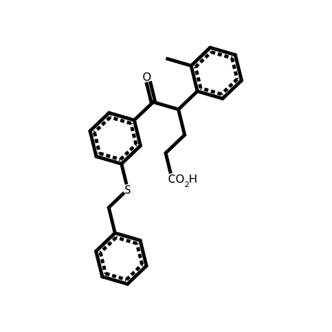 Cc1ccccc1C(CCC(=O)O)C(=O)c1cccc(SCc2ccccc2)c1